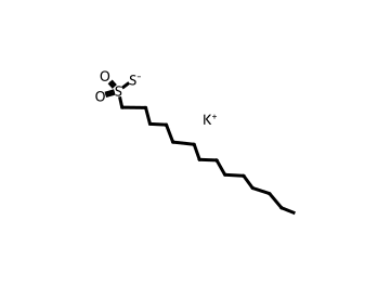 CCCCCCCCCCCCCCS(=O)(=O)[S-].[K+]